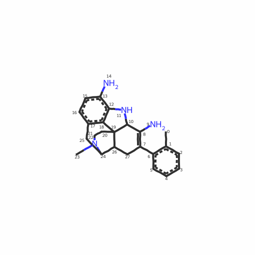 Cc1ccccc1C1=C(N)C2Nc3c(N)ccc4c3C23CCN(C)C(C4)C3C1